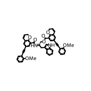 COc1ccccc1C#Cc1cc2c(c(C(=O)N[C@@H](COC(=O)c3cc(C#Cc4ccccc4OC)cc4c3OCC=C4)Cc3c[nH]c4ccccc34)c1)OCC=C2